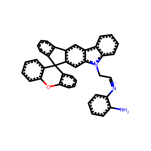 Nc1ccccc1/N=C\Cn1c2ccccc2c2cc3c(cc21)C1(c2ccccc2Oc2ccccc21)c1ccccc1-3